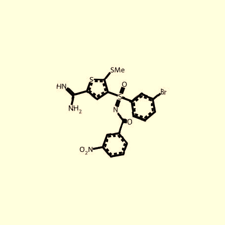 CSc1sc(C(=N)N)cc1S(=O)(=NC(=O)c1cccc([N+](=O)[O-])c1)c1cccc(Br)c1